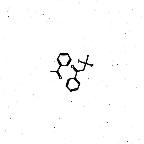 CC(=O)c1ccccc1.O=C(CC(F)(F)F)c1ccccc1